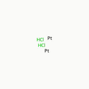 Cl.Cl.[Pt].[Pt]